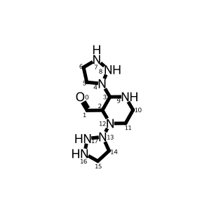 O=CC1C(N2CCNN2)NCCN1N1CCNN1